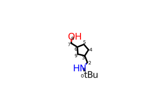 CC(C)(C)NCC1CCC(CO)C1